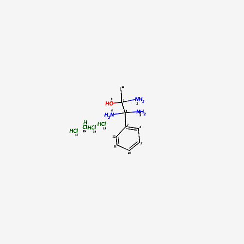 CC(N)(O)C(N)(N)c1ccccc1.Cl.Cl.Cl.Cl